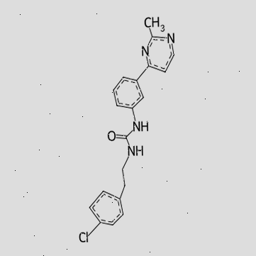 Cc1nccc(-c2cccc(NC(=O)NCCc3ccc(Cl)cc3)c2)n1